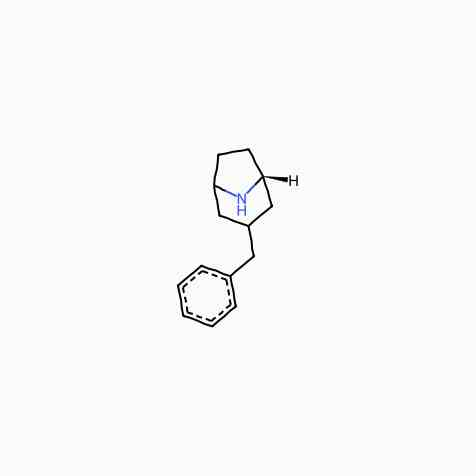 c1ccc(CC2CC3CC[C@H](C2)N3)cc1